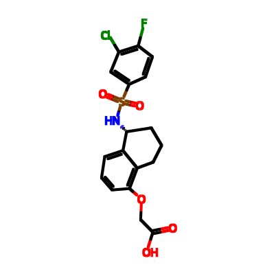 O=C(O)COc1cccc2c1CCC[C@H]2NS(=O)(=O)c1ccc(F)c(Cl)c1